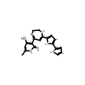 Cc1cc(O)c(C2=NCCSC(c3ccc(-c4cccs4)s3)=C2)c(=O)o1